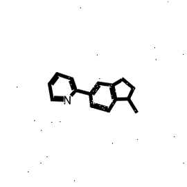 CC1CCc2cc(-c3ccccn3)ccc21